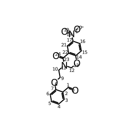 O=Cc1ccccc1OCCN1COc2ccc([N+](=O)[O-])cc2C1=O